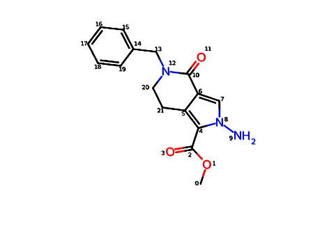 COC(=O)c1c2c(cn1N)C(=O)N(Cc1ccccc1)CC2